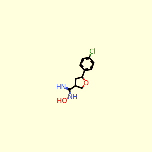 N=C(NO)C1COC(c2ccc(Cl)cc2)C1